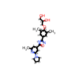 Cc1cc(-c2nc(-c3cc(C)c(OCC(O)CO)c(C)c3)no2)cc(N2CCCC2)n1